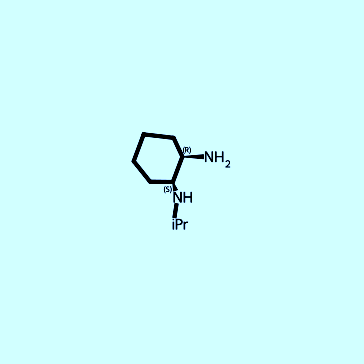 CC(C)N[C@H]1CCCC[C@H]1N